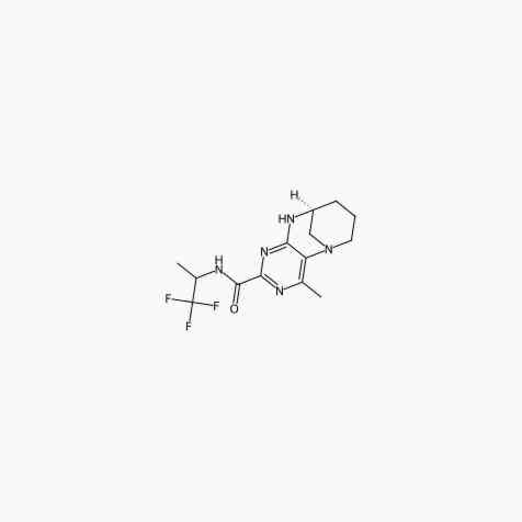 Cc1nc(C(=O)NC(C)C(F)(F)F)nc2c1N1CCC[C@@H](C1)N2